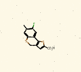 Cc1cc2c(cc1F)-c1sc(C(=O)O)cc1CS2